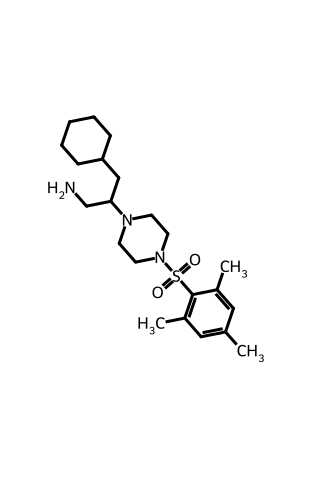 Cc1cc(C)c(S(=O)(=O)N2CCN(C(CN)CC3CCCCC3)CC2)c(C)c1